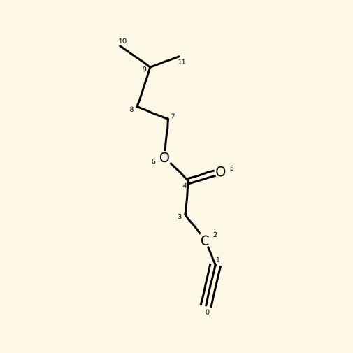 C#CCCC(=O)OCCC(C)C